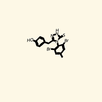 Cc1cc(Br)c(-n2c(Cc3ccc(O)cc3)n[nH]c2=S)c(Br)c1